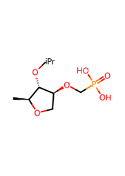 CC(C)O[C@H]1[C@H](C)OC[C@@H]1OCP(=O)(O)O